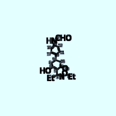 CCO/N=C(/CC)C1=C(O)CC(c2ccc(NC=O)cc2)CC1=O